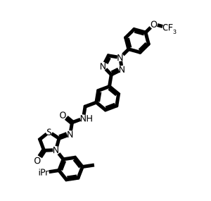 Cc1ccc(C(C)C)c(N2C(=O)CS/C2=N\C(=O)NCc2cccc(-c3ncn(-c4ccc(OC(F)(F)F)cc4)n3)c2)c1